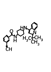 C#Cc1cccc(C(=O)NC2CCC(Nc3cc(C(C)(C)C)nc4ccccc34)CC2)c1